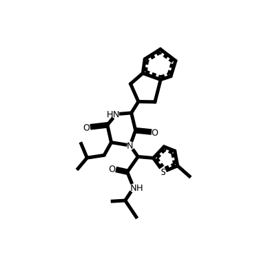 Cc1ccc(C(C(=O)NC(C)C)N2C(=O)C(C3Cc4ccccc4C3)NC(=O)C2CC(C)C)s1